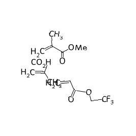 C=C(C)C(=O)O.C=C(C)C(=O)OC.C=CC(=O)OCC(F)(F)F